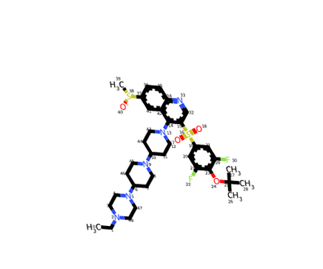 CCN1CCN(C2CCN(C3CCN(c4c(S(=O)(=O)c5cc(F)c(OC(C)(C)C)c(F)c5)cnc5ccc([S+](C)[O-])cc45)CC3)CC2)CC1